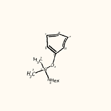 CCCCCC[Si](C)(C)Oc1ccccc1